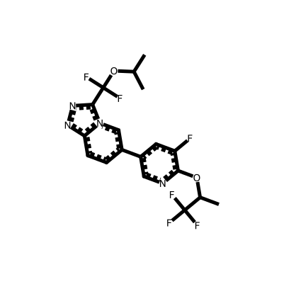 CC(C)OC(F)(F)c1nnc2ccc(-c3cnc(OC(C)C(F)(F)F)c(F)c3)cn12